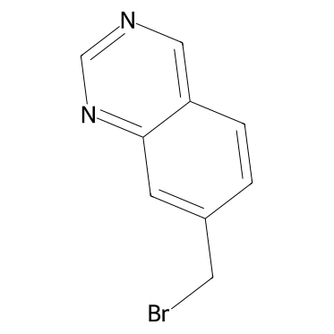 BrCc1ccc2cncnc2c1